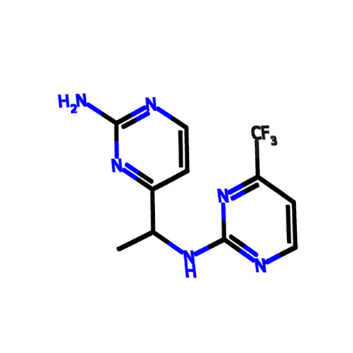 CC(Nc1nccc(C(F)(F)F)n1)c1ccnc(N)n1